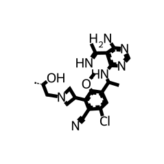 COc1c(C(C)Nc2ncnc(N)c2C(C)=N)cc(Cl)c(C#N)c1C1CN(C[C@H](C)O)C1